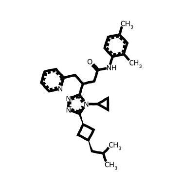 Cc1ccc(NC(=O)CC(Cc2ccccn2)c2nnc([C@H]3C[C@@H](CC(C)C)C3)n2C2CC2)c(C)c1